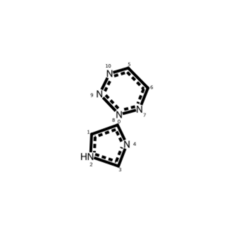 c1c[nH]cn1.c1cnnnn1